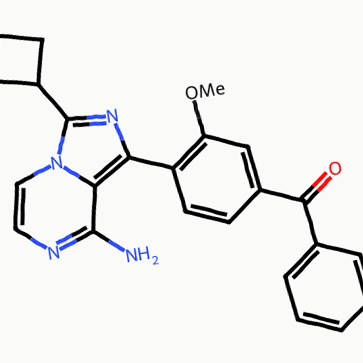 COc1cc(C(=O)c2ccccc2)ccc1-c1nc(C2CCC2)n2ccnc(N)c12